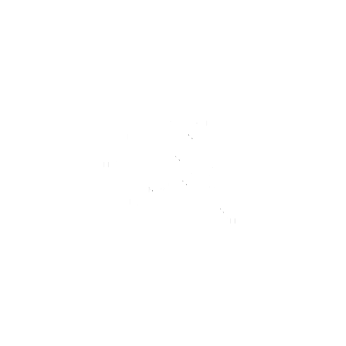 COC(=O)C1C2CN(C)C(C)CN2c2c(c(=O)n(C)c3c(F)c(C)c(F)cc23)N1CCCN(C)C